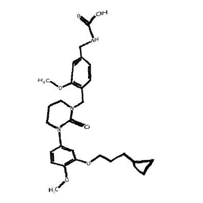 COc1cc(CNC(=O)O)ccc1CN1CCCN(c2ccc(OC)c(OCCCC3CC3)c2)C1=O